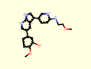 COCCNc1ccc(-c2c[nH]c3ncc(-c4ccc(OC)c(O)c4)cc23)cn1